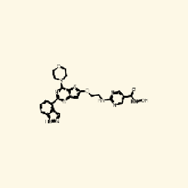 O=C(NO)c1cnc(NCCOc2cc3nc(-c4cccc5[nH]ncc45)nc(N4CCOCC4)c3s2)nc1